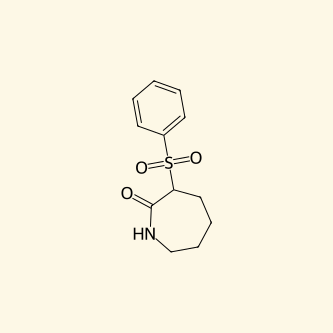 O=C1NCCCCC1S(=O)(=O)c1ccccc1